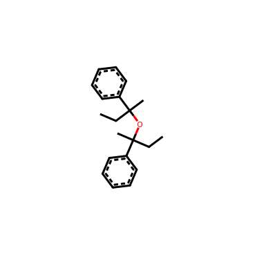 CCC(C)(OC(C)(CC)c1ccccc1)c1ccccc1